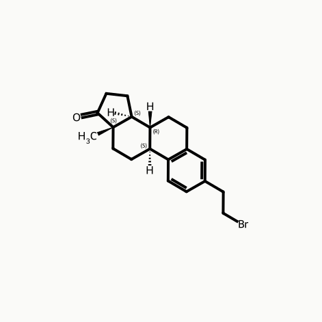 C[C@]12CC[C@@H]3c4ccc(CCBr)cc4CC[C@H]3[C@@H]1CCC2=O